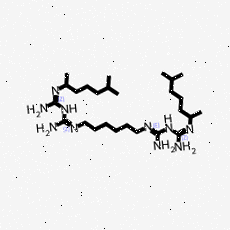 CC(C)CCCC(C)/N=C(/N)N/C(N)=N\CCCCCC/N=C(\N)N/C(N)=N\C(C)CCCC(C)C